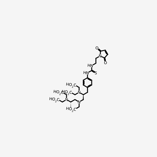 C[C@@H](CN(CC(=O)O)C[C@H](Cc1ccc(NC(=S)NCCN2C(=O)C=CC2=O)cc1)N(CC(=O)O)CC(=O)O)N(CC(=O)O)CC(=O)O